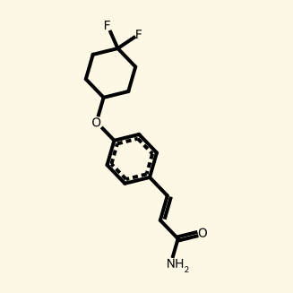 NC(=O)C=Cc1ccc(OC2CCC(F)(F)CC2)cc1